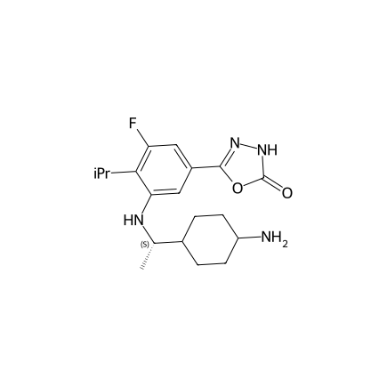 CC(C)c1c(F)cc(-c2n[nH]c(=O)o2)cc1N[C@@H](C)C1CCC(N)CC1